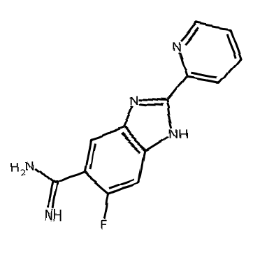 N=C(N)c1cc2nc(-c3ccccn3)[nH]c2cc1F